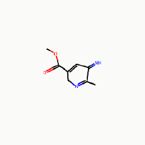 COC(=O)C1=CC(=N)C(C)=NC1